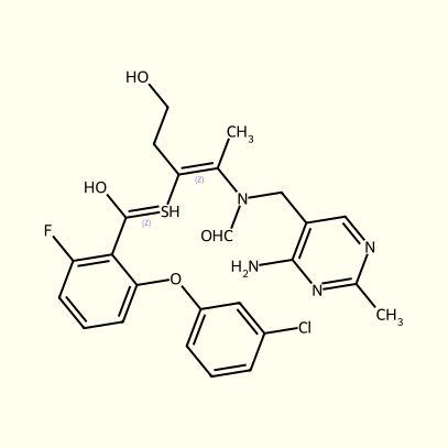 C/C(=C(CCO)/[SH]=C(\O)c1c(F)cccc1Oc1cccc(Cl)c1)N(C=O)Cc1cnc(C)nc1N